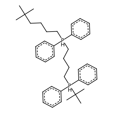 CC(C)(C)CCCC[PH](CCCC[PH](c1ccccc1)(c1ccccc1)C(C)(C)C)(c1ccccc1)c1ccccc1